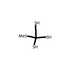 CSC(S)(S)S